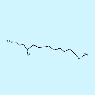 CCCCCCCCCC(O)NCC